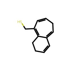 SCC1=C2CCC=CC2=CCC=C1